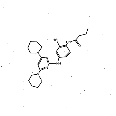 CCCC(=O)Nc1ccc(Nc2nc(N3CCCCC3)nc(N3CCCCC3)n2)cc1O